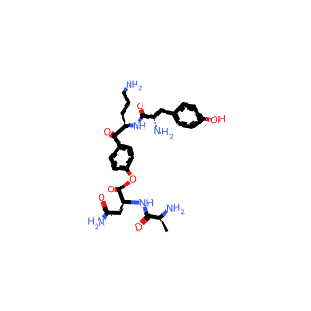 C[C@H](N)C(=O)N[C@@H](CC(N)=O)C(=O)Oc1ccc(C(=O)[C@@H](CCCN)NC(=O)[C@@H](N)Cc2ccc(O)cc2)cc1